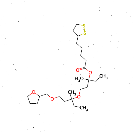 CCC(C)(CCOCC1CCCO1)OCCC(C)(CC)OC(=O)CCCCC1CCSS1